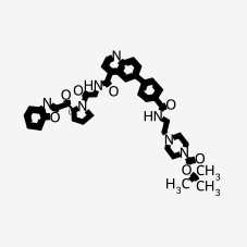 CC(C)(C)OC(=O)N1CCN(CCNC(=O)c2ccc(-c3ccc4nccc(C(=O)NCC(=O)N5CCC[C@H]5C(=O)c5nc6ccccc6o5)c4c3)cc2)CC1